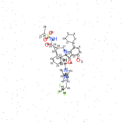 COc1ccc(C2CCCCC2)c2c1cc1n2CC2=C(C(=O)NS(=O)(=O)C(C)C)C2=C2C=CC[C@@H](C(=O)N3CC45CCC4(CN(CC(F)(F)F)C5)C3)[C@@H]21